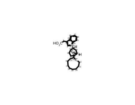 O=C(O)Cc1cn([C@H]2C[C@H]3CCCC2CN3C2CCCCCCCCC2)c2ccccc12